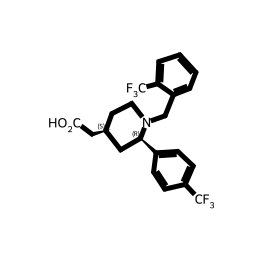 O=C(O)C[C@H]1CCN(Cc2ccccc2C(F)(F)F)[C@@H](c2ccc(C(F)(F)F)cc2)C1